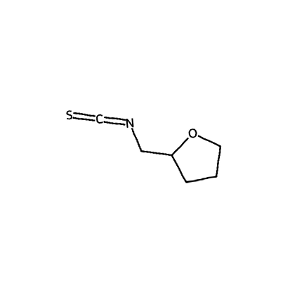 S=C=NCC1CCCO1